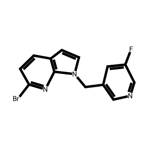 Fc1cncc(Cn2ccc3ccc(Br)nc32)c1